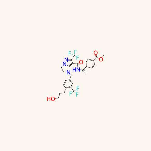 COC(=O)c1ccc([C@H](C)NC(=O)c2c(C(F)(F)F)nn3c2N(Cc2ccc(CCCO)c(C(F)(F)F)c2)CC3)cc1